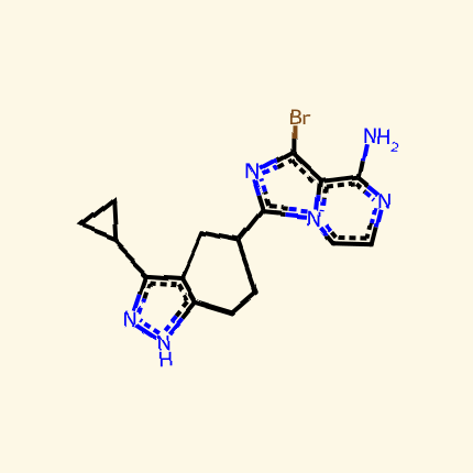 Nc1nccn2c(C3CCc4[nH]nc(C5CC5)c4C3)nc(Br)c12